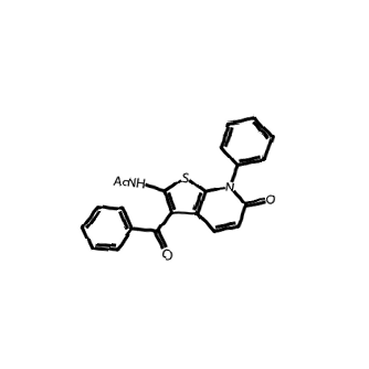 CC(=O)Nc1sc2c(ccc(=O)n2-c2ccccc2)c1C(=O)c1ccccc1